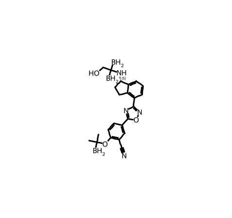 BC(B)(CO)N[C@H]1CCc2c(-c3noc(-c4ccc(OC(B)(C)C)c(C#N)c4)n3)cccc21